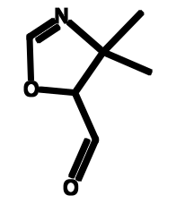 CC1(C)N=COC1C=O